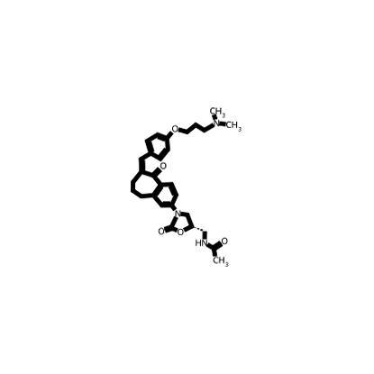 CC(=O)NC[C@H]1CN(c2ccc3c(c2)CCCC(=Cc2ccc(OCCCN(C)C)cc2)C3=O)C(=O)O1